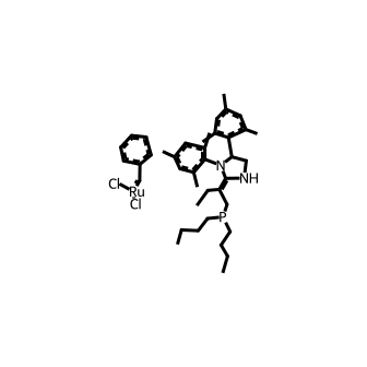 CCCCP(CCCC)CC(CC)=C1NCC(c2c(C)cc(C)cc2C)N1c1c(C)cc(C)cc1C.[Cl][Ru]([Cl])=[CH]c1ccccc1